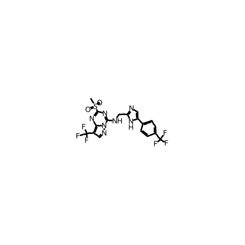 CS(=O)(=O)c1nc(NCc2ncc(-c3ccc(C(F)(F)F)cc3)[nH]2)n2ncc(C(F)(F)F)c2n1